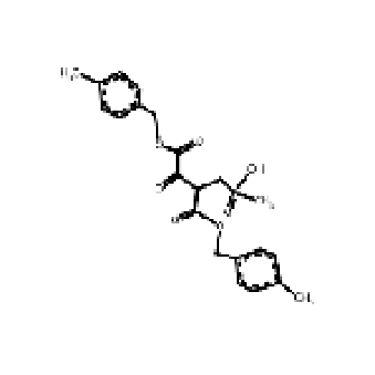 Cc1ccc(COC(=O)C(=O)C(CP(C)(=O)O)C(=O)OCc2ccc(C)cc2)cc1